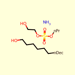 CCCCCCCCCCCCCCCCO.CCCOS(=O)(=O)OCCO.N